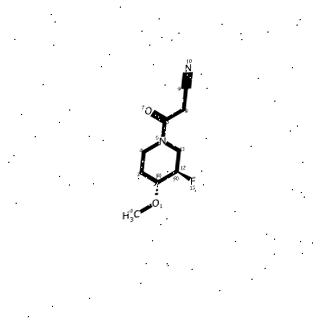 CO[C@@H]1CCN(C(=O)CC#N)C[C@H]1F